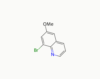 COc1cc(Br)c2ncccc2c1